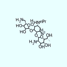 CCCN[C@@H]1CC(N)[C@@H](O[C@H]2OC([C@@H](C)O)[C@@H](O)C(O)C2N)C(OC2O[C@H](CN)C(O)C2O)[C@@H]1O